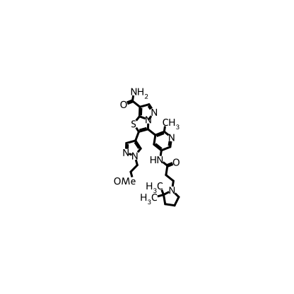 COCCn1cc(-c2sc3c(C(N)=O)cnn3c2-c2cc(NC(=O)CCN3CCCC3(C)C)cnc2C)cn1